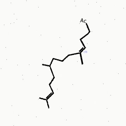 CC(=O)CC/C=C(/C)CCCC(C)CCC=C(C)C